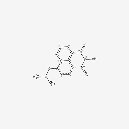 CC(C)Sc1ccc2c3c(cccc13)C(=O)N(O)C2=O